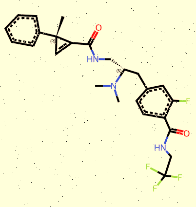 CN(C)[C@H](CNC(=O)C1=C[C@]1(C)c1ccccc1)Cc1ccc(C(=O)NCC(F)(F)F)c(F)c1